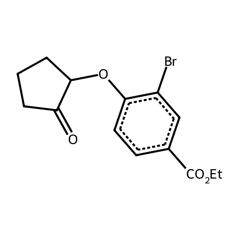 CCOC(=O)c1ccc(OC2CCCC2=O)c(Br)c1